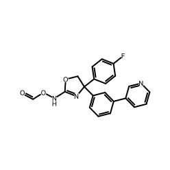 O=CONC1=NC(c2ccc(F)cc2)(c2cccc(-c3cccnc3)c2)CO1